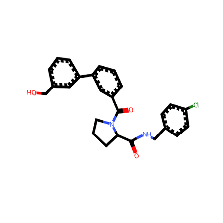 O=C(NCc1ccc(Cl)cc1)C1CCCN1C(=O)c1cccc(-c2cccc(CO)c2)c1